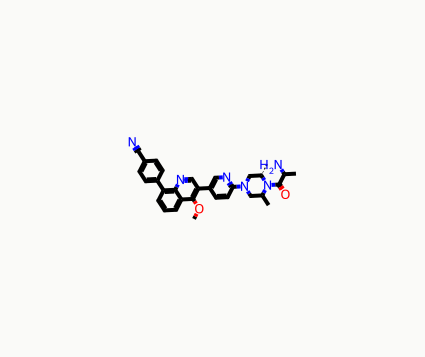 COc1c(-c2ccc(N3CC(C)N(C(=O)C(C)N)[C@@H](C)C3)nc2)cnc2c(-c3ccc(C#N)cc3)cccc12